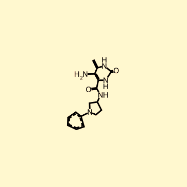 C=C1NC(=O)NC(C(=O)NC2CCN(c3ccccc3)C2)=C1N